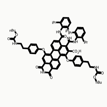 CCCCOC(=O)NCCc1ccc(Oc2cc3c4c(ccc5c6c(Oc7ccc(CCNC(=O)OCCCC)cc7)c(C(=O)O)c(C(=N)Nc7c(C(C)C)cccc7C(C)C)c7c(C(=O)Nc8c(C(C)C)cccc8C(C)C)ccc(c2c45)c76)C(=O)NC3=O)cc1